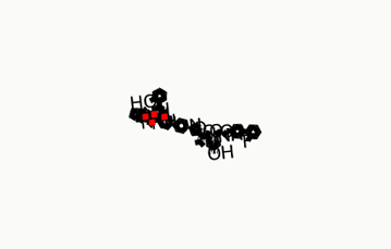 CC(C)[C@@H](C(=O)N1C[C@H](O)C[C@H]1C(=O)NOc1ccc(-c2ccccc2F)cc1)c1cc([C@H]2CC[C@H](N3CCC(c4cnc(N5C6CCC5CN(c5c[nH]c7nnc(-c8ccccc8O)cc57)C6)nc4)CC3)CC2)no1